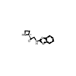 O=C(CNc1nc2ccccc2s1)[C@@H]1CCN1